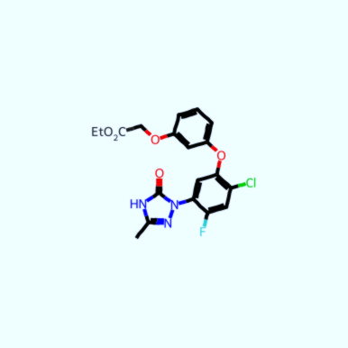 CCOC(=O)COc1cccc(Oc2cc(-n3nc(C)[nH]c3=O)c(F)cc2Cl)c1